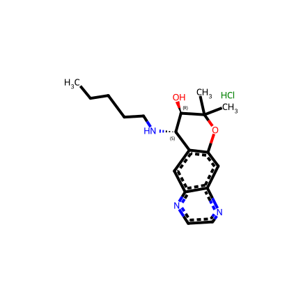 CCCCCN[C@H]1c2cc3nccnc3cc2OC(C)(C)[C@@H]1O.Cl